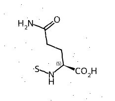 NC(=O)CC[C@H](N[S])C(=O)O